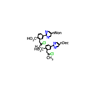 CCCCCCCCCCc1cnc(-c2ccc(C(=O)O)c(C[C@@H](C)Cl)c2)nc1.CCCCCCCCCc1cnc(-c2ccc(C(=O)O)c(C[C@@H](C)Cl)c2)nc1